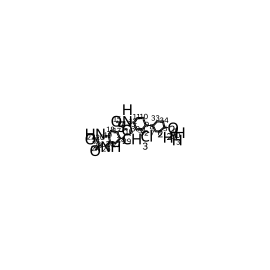 [2H]C([2H])([2H])Oc1ccc(-c2ccc(NS(=O)(=O)c3cc4[nH]c(=O)c(=O)[nH]c4cc3C)cc2Cl)cc1